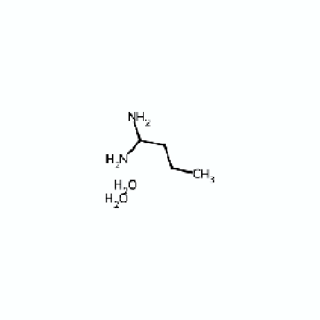 CCCC(N)N.O.O